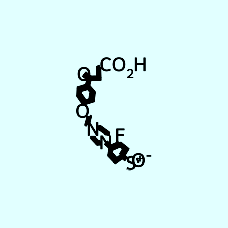 C[S+]([O-])c1ccc(N2CCN(CCOc3ccc(C(=O)CCC(=O)O)cc3)CC2)c(F)c1